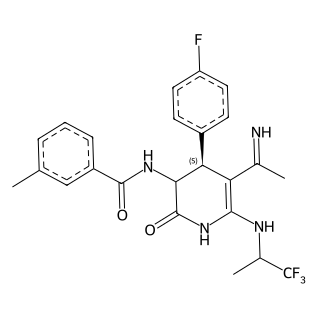 CC(=N)C1=C(NC(C)C(F)(F)F)NC(=O)C(NC(=O)c2cccc(C)c2)[C@H]1c1ccc(F)cc1